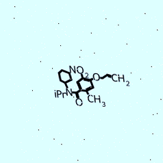 C=CCOc1cc(C)c(C(=O)N(C(C)C)C2CCCCC2)cc1[N+](=O)[O-]